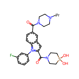 CC(C)N1CCN(C(=O)c2ccc3c(c2)cc(C(=O)N2CCS(O)(O)CC2)n3-c2cccc(F)c2)CC1